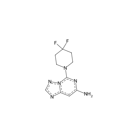 Nc1cc2ncnn2c(N2CCC(F)(F)CC2)n1